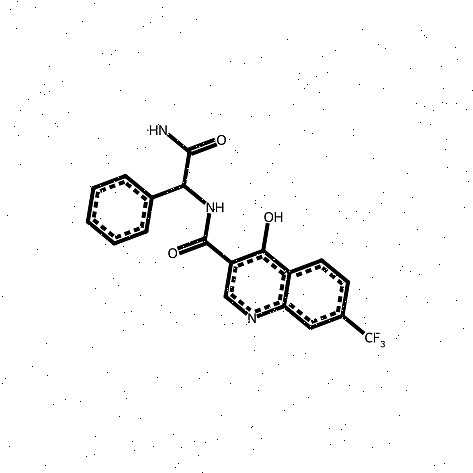 [NH]C(=O)C(NC(=O)c1cnc2cc(C(F)(F)F)ccc2c1O)c1ccccc1